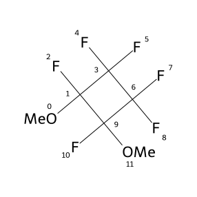 COC1(F)C(F)(F)C(F)(F)C1(F)OC